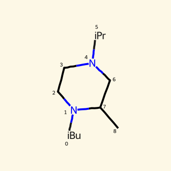 CCC(C)N1CCN(C(C)C)CC1C